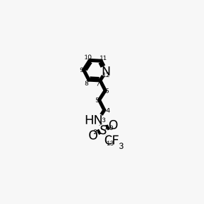 O=S(=O)(NCCCc1ccccn1)C(F)(F)F